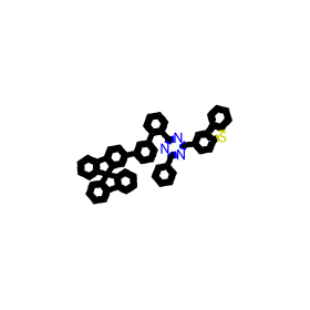 c1ccc(-c2nc(-c3ccc4sc5ccccc5c4c3)nc(-c3ccccc3-c3cccc(-c4ccc5c(c4)C4(c6ccccc6-c6ccccc64)c4ccccc4-5)c3)n2)cc1